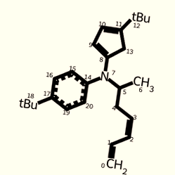 C=C/C=C\CC(C)N(C1=CC=C(C(C)(C)C)C1)c1ccc(C(C)(C)C)cc1